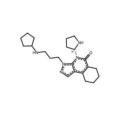 O=c1c2c(c3cnn(CCCNC4CCCC4)c3n1[C@@H]1CCCN1)CCCC2